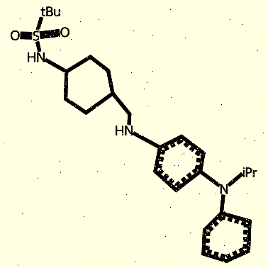 CC(C)N(c1ccccc1)c1ccc(NCC2CCC(NS(=O)(=O)C(C)(C)C)CC2)cc1